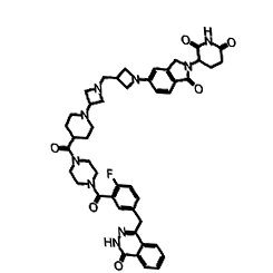 O=C1CCC(N2Cc3cc(N4CC(CN5CC(N6CCC(C(=O)N7CCN(C(=O)c8cc(Cc9n[nH]c(=O)c%10ccccc9%10)ccc8F)CC7)CC6)C5)C4)ccc3C2=O)C(=O)N1